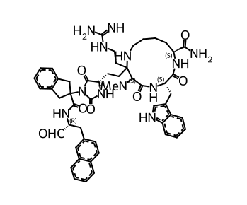 CN[C@@H]1C(=O)N[C@@H](Cc2c[nH]c3ccccc23)C(=O)N[C@H](C(N)=O)CCCCNC1(CCNC(=N)N)CC[C@@H]1NC(=O)N(C2(C(=O)N[C@@H](C=O)Cc3ccc4ccccc4c3)Cc3ccccc3C2)C1=O